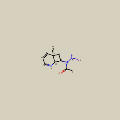 CC(=O)N(NI)C1C[C@H]2C=CC=NC12